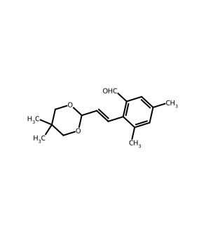 Cc1cc(C)c(C=CC2OCC(C)(C)CO2)c(C=O)c1